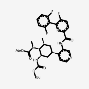 COC(=O)N(C)[C@H]1[C@@H](C)C[C@@H](c2ccncc2NC(=O)c2ccc(F)c(-c3c(F)cccc3F)n2)C[C@H]1NC(=O)OC(C)(C)C